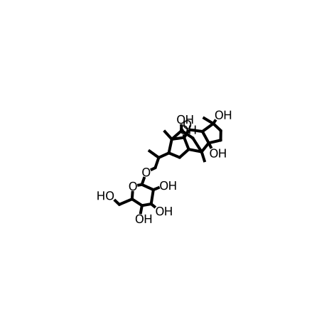 CC(COC1OC(CO)C(O)C(O)C1O)C1CC2C3(C)CC4(O)OC(C5C(C)(O)CCC53O)C2(O)C14C